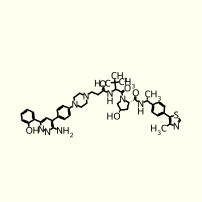 Cc1ncsc1-c1ccc([C@H](C)NC(=O)[C@@H]2C[C@@H](O)CN2C(=O)C(NC(=O)CCN2CCN(c3ccc(-c4cc(-c5ccccc5O)nnc4N)cc3)CC2)C(C)(C)C)cc1